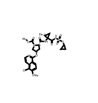 CC[C@@H]1CC1(NC(=O)[C@@H]1C[C@@H](Oc2nccc3c(Cl)c(OC)ccc23)CN1C(=O)OC(C)(C)C)C(=O)NS(=O)(=O)OC1CC1